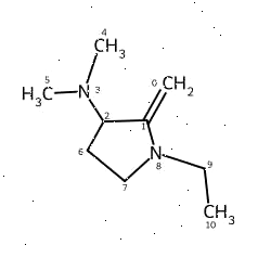 C=C1C(N(C)C)CCN1CC